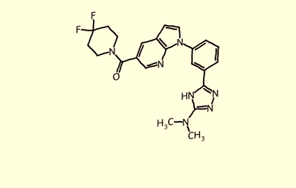 CN(C)c1nnc(-c2cccc(-n3ccc4cc(C(=O)N5CCC(F)(F)CC5)cnc43)c2)[nH]1